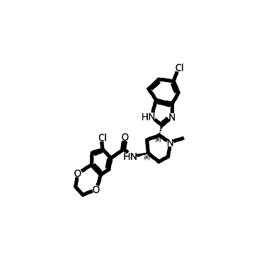 CN1CC[C@@H](NC(=O)c2cc3c(cc2Cl)OCCO3)C[C@@H]1c1nc2cc(Cl)ccc2[nH]1